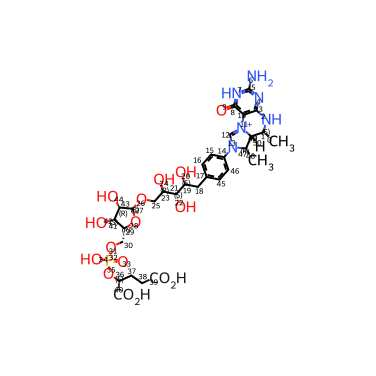 C[C@@H]1Nc2nc(N)[nH]c(=O)c2[N+]2=CN(c3ccc(C[C@H](O)[C@H](O)[C@H](O)CO[C@H]4O[C@H](COP(=O)(O)O[C@@H](CCC(=O)O)C(=O)O)[C@@H](O)[C@H]4O)cc3)[C@H](C)[C@@H]12